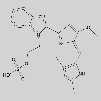 COC1=CC(c2cc3ccccc3n2CCOS(=O)(=O)O)=NC1=Cc1[nH]c(C)cc1C